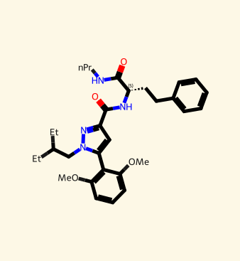 CCCNC(=O)[C@H](CCc1ccccc1)NC(=O)c1cc(-c2c(OC)cccc2OC)n(CC(CC)CC)n1